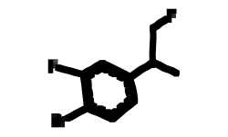 C[C](CF)c1ccc(Br)c(F)c1